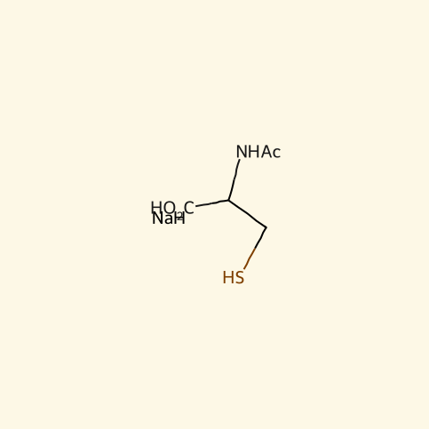 CC(=O)NC(CS)C(=O)O.[NaH]